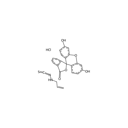 C=CCNN=C=S.Cl.O=C1OC2(c3ccc(O)cc3Oc3cc(O)ccc32)c2ccccc21